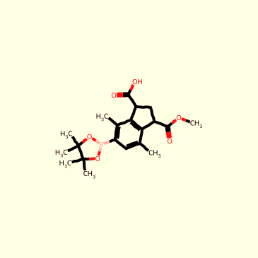 COC(=O)C1CC(C(=O)O)c2c(C)c(B3OC(C)(C)C(C)(C)O3)cc(C)c21